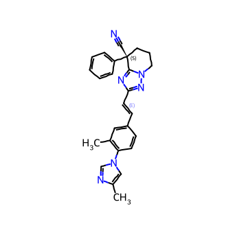 Cc1cn(-c2ccc(/C=C/c3nc4n(n3)CCC[C@@]4(C#N)c3ccccc3)cc2C)cn1